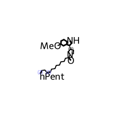 CCCCC/C=C\C/C=C\CCCCCCCC(=O)N1CC[C@H](c2c[nH]c3ccc(OC)cc23)C1